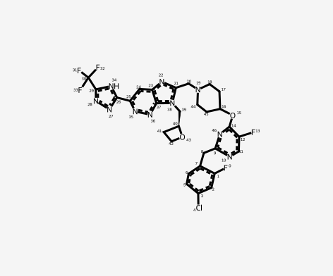 Fc1cc(Cl)ccc1Cc1ncc(F)c(OC2CCN(Cc3nc4cc(-c5nnc(C(F)(F)F)[nH]5)nnc4n3C[C@@H]3CCO3)CC2)n1